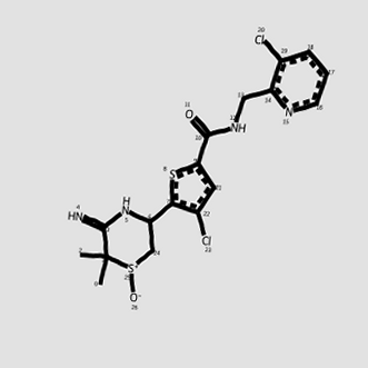 CC1(C)C(=N)NC(c2sc(C(=O)NCc3ncccc3Cl)cc2Cl)C[S+]1[O-]